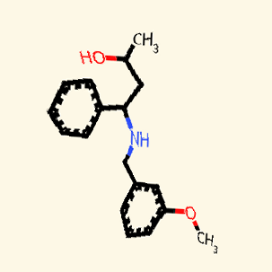 COc1cccc(CNC(CC(C)O)c2ccccc2)c1